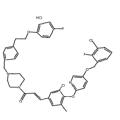 Cc1cc(C=CC(=O)N2CCN(Cc3ccc(CCOc4ccc(F)cc4)cc3)CC2)cc(Cl)c1Oc1ccc(OCc2cccc(Cl)c2F)cn1.Cl